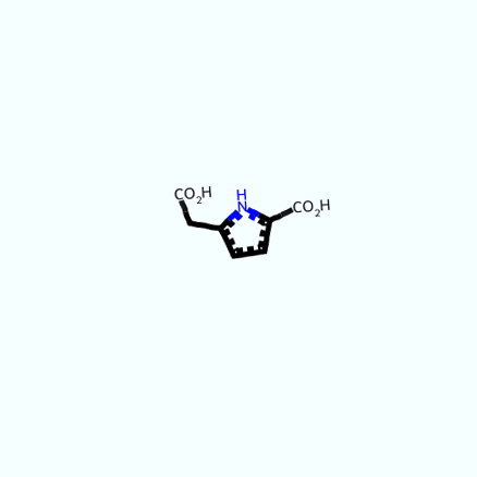 O=C(O)Cc1ccc(C(=O)O)[nH]1